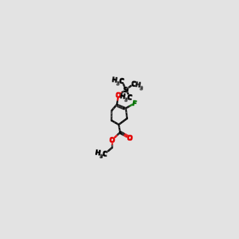 CCOC(=O)C1CCC(O[Si](C)(C)C)=C(F)C1